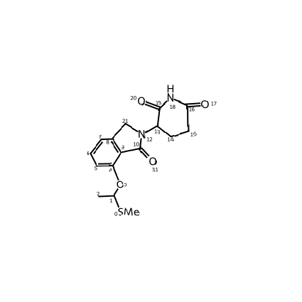 CSC(C)Oc1cccc2c1C(=O)N(C1CCC(=O)NC1=O)C2